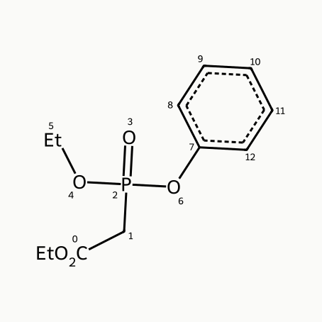 CCOC(=O)CP(=O)(OCC)Oc1ccccc1